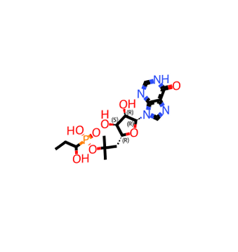 CCC(O)P(=O)(O)OC(C)(C)C[C@H]1O[C@@H](n2cnc3c(=O)[nH]cnc32)[C@H](O)[C@@H]1O